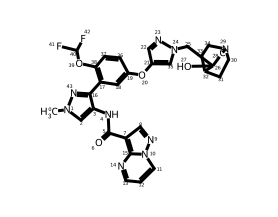 Cn1cc(NC(=O)c2cnn3cccnc23)c(-c2cc(Oc3cnn(CC4(O)CN5CCC4CC5)c3)ccc2OC(F)F)n1